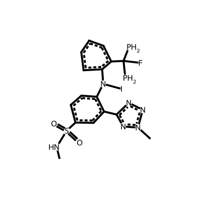 CNS(=O)(=O)c1ccc(N(I)c2ccccc2C(F)(P)P)c(-c2nnn(C)n2)c1